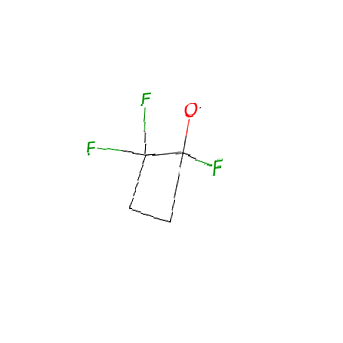 [O]C1(F)CCC1(F)F